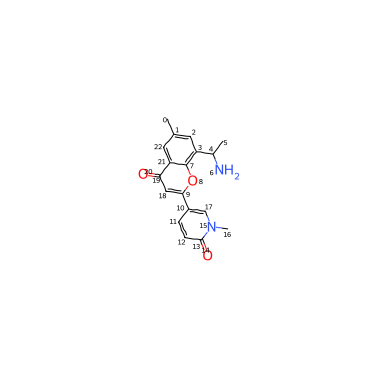 Cc1cc(C(C)N)c2oc(-c3ccc(=O)n(C)c3)cc(=O)c2c1